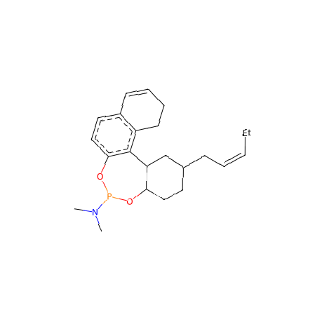 CC/C=C\CC1CCC2OP(N(C)C)Oc3ccc4c(c3C2C1)CCC=C4